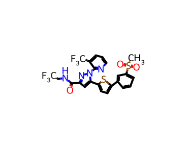 CS(=O)(=O)c1cccc(-c2ccc(-c3cc(C(=O)NCC(F)(F)F)nn3-c3ncccc3C(F)(F)F)s2)c1